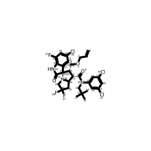 C=CCOC(=O)[C@@H]1[C@H](C(=O)N(CC(C)(C)C)c2cc(Cl)cc(Cl)c2)C2CC(F)(F)CN2[C@@]12C(=O)Nc1c(F)cc(Cl)cc12